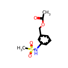 CC(=O)OCc1cccc(NS(C)(=O)=O)c1